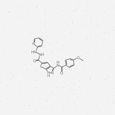 COc1ccc(C(=O)Nc2n[nH]c3sc(C(=O)NNc4ccccn4)cc23)cc1